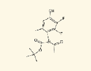 CC(=O)N(C(=O)OC(C)(C)C)c1c(C)cc(O)c(F)c1F